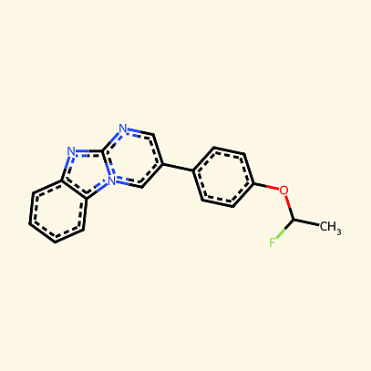 CC(F)Oc1ccc(-c2cnc3nc4ccccc4n3c2)cc1